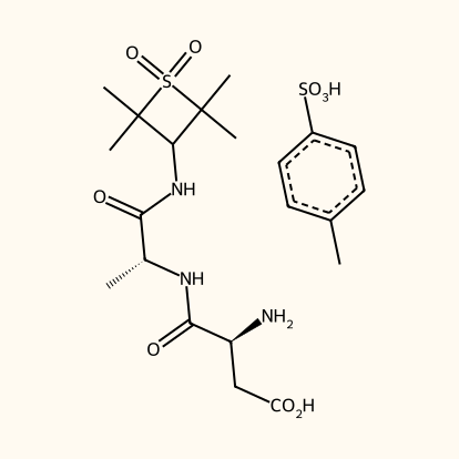 C[C@@H](NC(=O)[C@@H](N)CC(=O)O)C(=O)NC1C(C)(C)S(=O)(=O)C1(C)C.Cc1ccc(S(=O)(=O)O)cc1